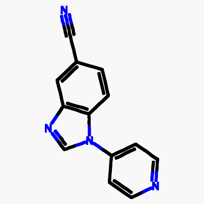 N#Cc1ccc2c(c1)ncn2-c1ccncc1